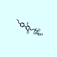 CCCc1ccc(-c2cc(=O)n(CCC(C)(C)C(=O)NO)cc2F)cc1